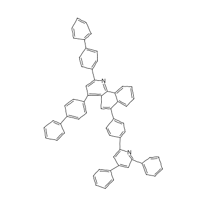 c1ccc(-c2ccc(-c3cc(-c4ccc(-c5ccccc5)cc4)c4cc(-c5ccc(-c6cc(-c7ccccc7)cc(-c7ccccc7)n6)cc5)c5ccccc5c4n3)cc2)cc1